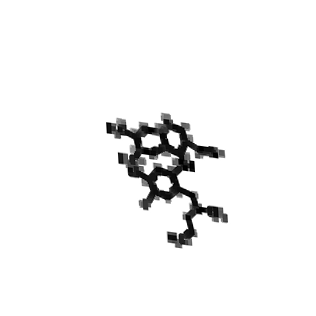 C=CCN(C)Cc1cc(F)c(Cl)cc1Nc1c(C#N)cnc2cc(C)c(C)cc12